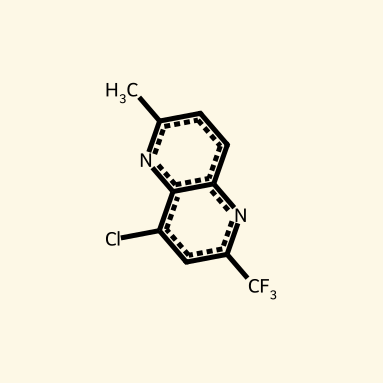 Cc1ccc2nc(C(F)(F)F)cc(Cl)c2n1